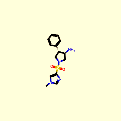 Cn1cnc(S(=O)(=O)N2C[C@H](c3ccccc3)[C@@H](N)C2)c1